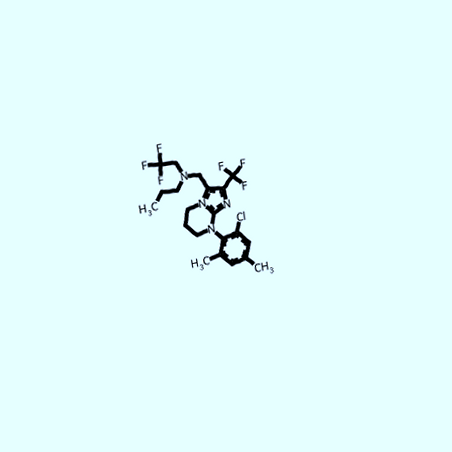 CCCN(Cc1c(C(F)(F)F)nc2n1CCCN2c1c(C)cc(C)cc1Cl)CC(F)(F)F